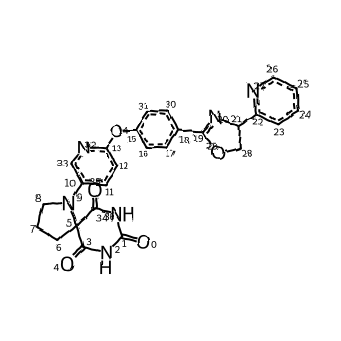 O=C1NC(=O)C2(CCCN2c2ccc(Oc3ccc(C4=NC(c5ccccn5)CO4)cc3)nc2)C(=O)N1